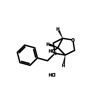 Cl.O[C@H]1[C@H]2CO[C@@H]1CN2Cc1ccccc1